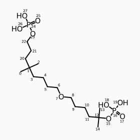 CC(C)(CCCCOCCCCC(C)(C)OP(=O)(O)O)CCCOP(=O)(O)O